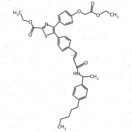 CCCCCc1ccc(C(C)NC(=O)/C=C/c2ccc(-c3sc(C(=O)OCC)nc3-c3ccc(OCC(=O)OCC)cc3)cc2)cc1